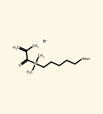 C=C(C)C(=O)[N+](C)(C)CCCCCCCCCCCCCC.[Br-]